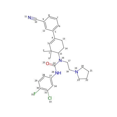 CC1(C)C=C(c2cccc(C#N)c2)CCC1N(CCN1CCCC1)C(=O)Nc1ccc(F)c(Cl)c1